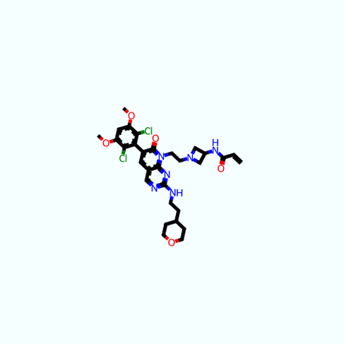 C=CC(=O)NC1CN(CCn2c(=O)c(-c3c(Cl)c(OC)cc(OC)c3Cl)cc3cnc(NCCC4CCOCC4)nc32)C1